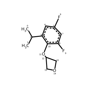 CC(C)c1cc(F)cc(F)c1OC1COC1